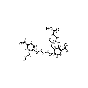 CCCc1cc(C(C)=O)ccc1SCCCOc1ccc(C(C)=O)c(OCCCC(=O)O)c1CCC